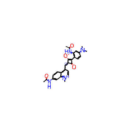 CC(=O)Nc1ccc2c(/C=C3\C(=O)C(c4ccc(N(C)C)cc4NC(C)=O)=C3[O-])cc[n+](C)c2c1